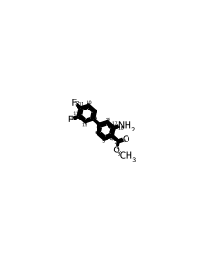 COC(=O)c1ccc(-c2ccc(F)c(F)c2)cc1N